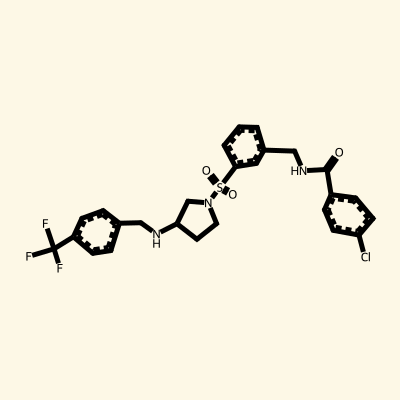 O=C(NCc1cccc(S(=O)(=O)N2CCC(NCc3ccc(C(F)(F)F)cc3)C2)c1)c1ccc(Cl)cc1